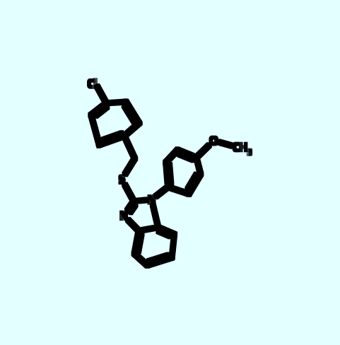 COc1ccc(-n2c(SCc3ccc(Cl)cc3)nc3ccccc32)cc1